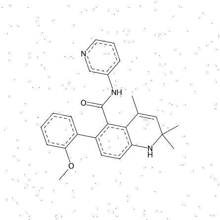 COc1ccccc1-c1ccc2c(c1C(=O)Nc1cccnc1)C(C)=CC(C)(C)N2